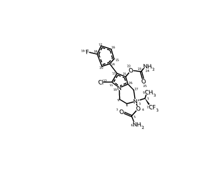 C[C@@H](C(F)(F)F)[N+]1(OC(N)=O)CCn2c(Cl)c(-c3cccc(F)c3)c(OC(N)=O)c2C1